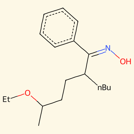 CCCCC(CCC(C)OCC)C(=NO)c1ccccc1